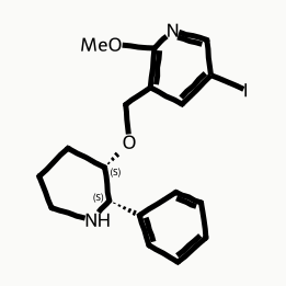 COc1ncc(I)cc1CO[C@H]1CCCN[C@H]1c1ccccc1